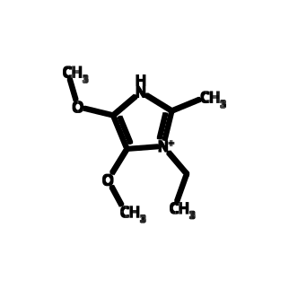 CC[n+]1c(C)[nH]c(OC)c1OC